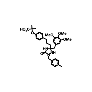 COc1cc(CC2(CCCc3ccc(OC(C)(C)C(=O)O)cc3)NC(=O)N(Cc3ccc(C)cc3)N2)cc(OC)c1OC